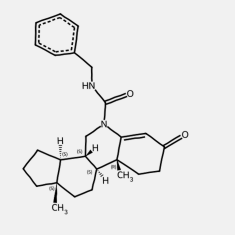 C[C@@]12CCC[C@H]1[C@@H]1CN(C(=O)NCc3ccccc3)C3=CC(=O)CC[C@]3(C)[C@H]1CC2